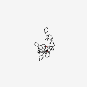 CCCCc1nc2ccc(N3CCCN(Cc4ccccc4)C3=O)cc2n1-c1ccc(-c2ccccc2)c(-c2nnnn2C(c2ccccc2)(c2ccccc2)c2ccccc2)c1C